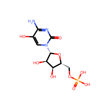 Nc1nc(=O)n([C@@H]2O[C@H](COP(=O)(O)O)[C@@H](O)[C@H]2O)cc1O